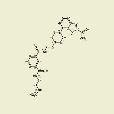 NC(=O)c1cc2ncnc(N3CCN(CCNC(=O)c4cccc(C(=O)NCCNC(=O)O)c4)CC3)c2s1